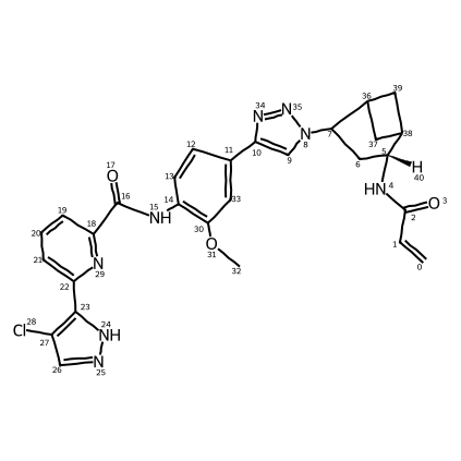 C=CC(=O)N[C@@H]1CC(n2cc(-c3ccc(NC(=O)c4cccc(-c5[nH]ncc5Cl)n4)c(OC)c3)nn2)C2CC1C2